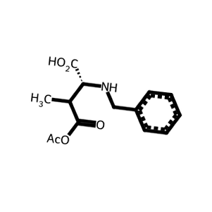 CC(=O)OC(=O)C(C)[C@@H](NCc1ccccc1)C(=O)O